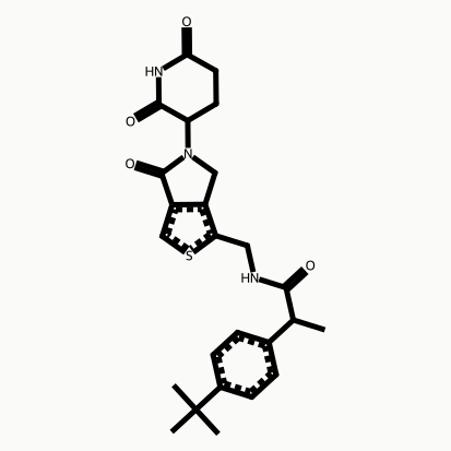 CC(C(=O)NCc1scc2c1CN(C1CCC(=O)NC1=O)C2=O)c1ccc(C(C)(C)C)cc1